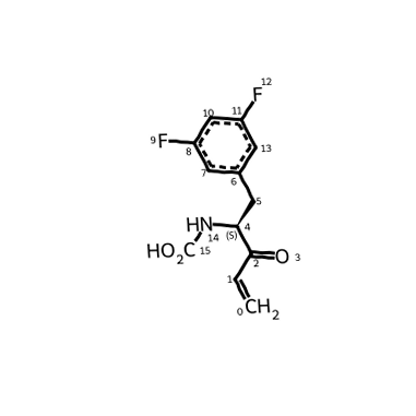 C=CC(=O)[C@H](Cc1cc(F)cc(F)c1)NC(=O)O